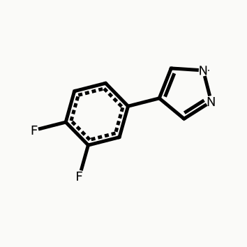 Fc1ccc(C2=C[N]N=C2)cc1F